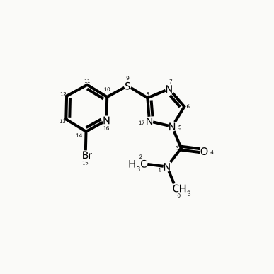 CN(C)C(=O)n1cnc(Sc2cccc(Br)n2)n1